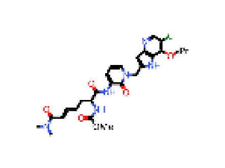 COC(=O)N[C@@H](CC/C=C/C(=O)N(C)C)C(=O)Nc1cccn(Cc2cc3ncc(Cl)c(OC(C)C)c3[nH]2)c1=O